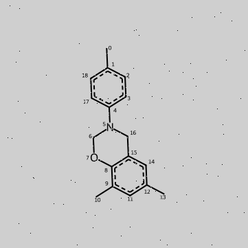 Cc1ccc(N2COc3c(C)cc(C)cc3C2)cc1